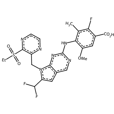 CCS(=O)(=O)c1nccnc1Cn1c(C(F)F)cc2cnc(Nc3c(OC)cc(C(=O)O)c(F)c3C)nc21